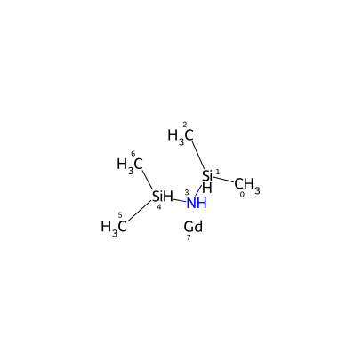 C[SiH](C)N[SiH](C)C.[Gd]